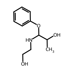 CC(O)C(NCCO)Oc1ccccc1